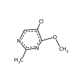 COc1nc(C)ncc1Cl